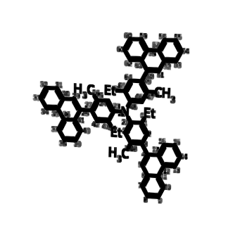 CCc1cc(-c2cc3ccccc3c3ccccc23)c(C)cc1N(c1cc(C)c(-c2cc3ccccc3c3ccccc23)cc1CC)c1cc(C)c(-c2cc3ccccc3c3ccccc23)cc1CC